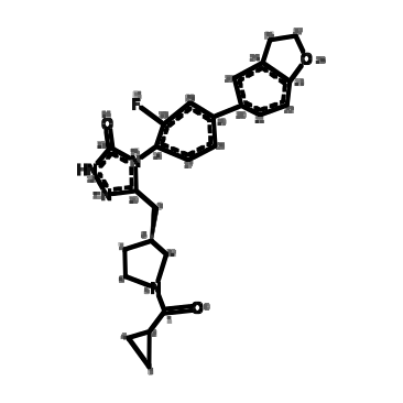 O=C(C1CC1)N1CC[C@@H](Cc2n[nH]c(=O)n2-c2ccc(-c3ccc4c(c3)CCO4)cc2F)C1